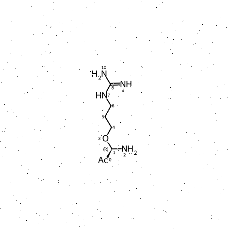 CC(=O)[C@H](N)OCCCNC(=N)N